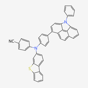 N#Cc1ccc(N(c2ccc(-c3ccc4c5c3ccc3cccc(c35)n4-c3ccccc3)cc2)c2ccc3c(c2)sc2ccccc23)cc1